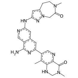 Cc1c(-c2cc3cc(Nc4cc5n(n4)CC(=O)N(C)CC5)ncc3c(N)n2)cnc2c1NCN(C)C2=O